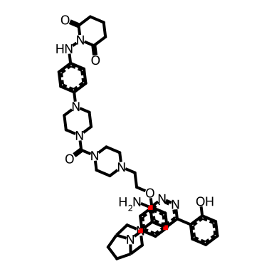 Nc1nnc(-c2ccccc2O)cc1N1CC2CCC(C1)N2c1cccc(OCCN2CCN(C(=O)N3CCN(c4ccc(NN5C(=O)CCCC5=O)cc4)CC3)CC2)c1